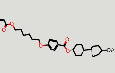 C=CC(=O)OCCCCCCOc1ccc(C(=O)O[C@H]2CC[C@H]([C@H]3CC[C@H](OC(C)=O)CC3)CC2)cc1